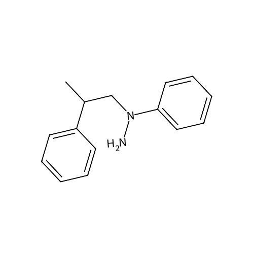 CC(CN(N)c1ccccc1)c1ccccc1